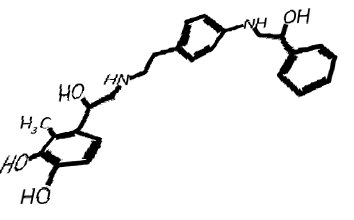 Cc1c(C(O)CNCCc2ccc(NCC(O)c3ccccc3)cc2)ccc(O)c1O